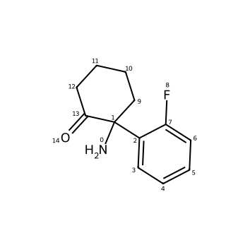 NC1(c2ccccc2F)CCCCC1=O